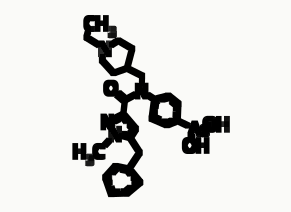 CCN1CCC(CN(C(=O)c2cc(Cc3ccccc3)n(C)n2)c2ccc([As](O)O)cc2)CC1